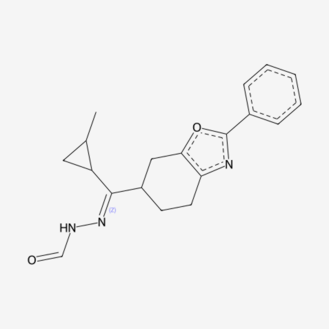 CC1CC1/C(=N\NC=O)C1CCc2nc(-c3ccccc3)oc2C1